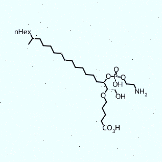 CCCCCCC(C)CCCCCCCCCCCCC(OP(=O)(O)OCCN)[C@H](CO)OCCCCC(=O)O